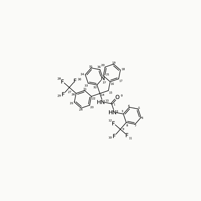 O=C(Nc1ccccc1C(F)(F)F)NC(Cc1ccccc1)(c1cccc(C(F)(F)F)c1)c1ccccn1